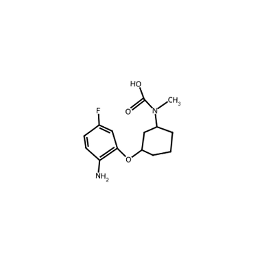 CN(C(=O)O)C1CCCC(Oc2cc(F)ccc2N)C1